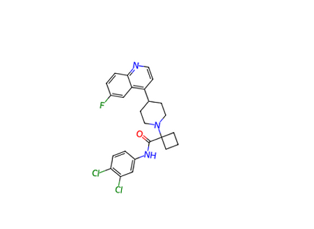 O=C(Nc1ccc(Cl)c(Cl)c1)C1(N2CCC(c3ccnc4ccc(F)cc34)CC2)CCC1